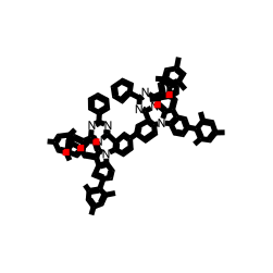 Cc1cc(C)c(-c2ccc3c(c2)c2cc(-c4c(C)cc(C)cc4C)ccc2n3-c2ccc(-c3ccc(-n4c5ccc(-c6c(C)cc(C)cc6C)cc5c5cc(-c6c(C)cc(C)cc6C)ccc54)c(-c4nc(-c5ccccc5)nc(-c5ccccc5)n4)c3)cc2-c2nc(-c3ccccc3)nc(-c3ccccc3)n2)c(C)c1